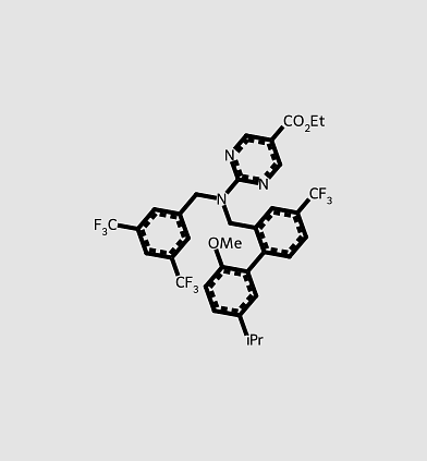 CCOC(=O)c1cnc(N(Cc2cc(C(F)(F)F)cc(C(F)(F)F)c2)Cc2cc(C(F)(F)F)ccc2-c2cc(C(C)C)ccc2OC)nc1